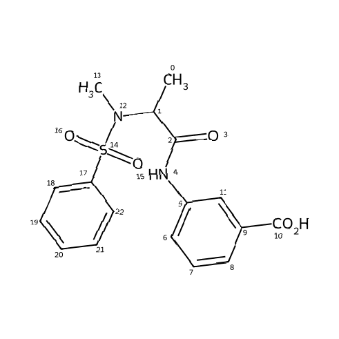 CC(C(=O)Nc1cccc(C(=O)O)c1)N(C)S(=O)(=O)c1ccccc1